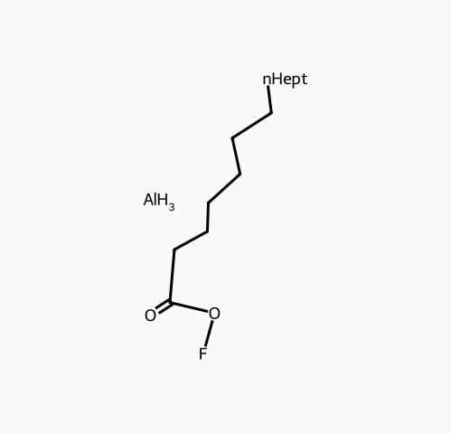 CCCCCCCCCCCCCC(=O)OF.[AlH3]